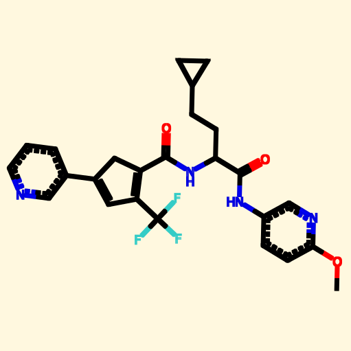 COc1ccc(NC(=O)C(CCC2CC2)NC(=O)C2=C(C(F)(F)F)C=C(c3cccnc3)C2)cn1